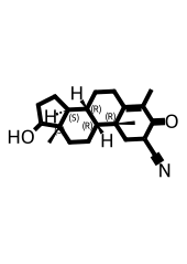 CC1=C2CC[C@@H]3[C@@H](CC[C@]4(C)C(O)CC[C@@H]34)[C@@]2(C)CC(C#N)C1=O